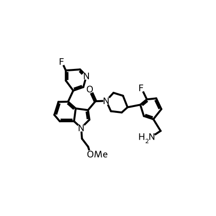 COCCn1cc(C(=O)N2CCC(c3cc(CN)ccc3F)CC2)c2c(-c3cncc(F)c3)cccc21